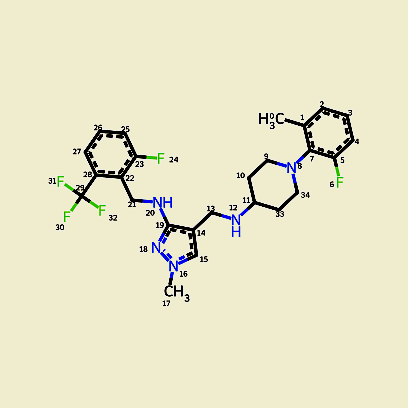 Cc1cccc(F)c1N1CCC(NCc2cn(C)nc2NCc2c(F)cccc2C(F)(F)F)CC1